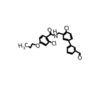 CCCOc1ccc(C(=O)NCc2cc(-c3cccc(C=O)c3)ccc2Cl)c(Cl)c1